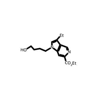 CCOC(=O)c1cc2c(cn1)c(CC)cn2CCCCO